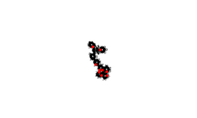 c1ccc(-c2cc(-c3cccc(-c4ccc(-c5ccc6c(c5)-c5ccccc5C65c6ccccc6-c6ccccc65)cc4)c3)nc(-c3ccccc3)n2)cc1